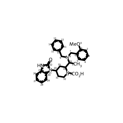 COc1ccccc1CN(Cc1ccccc1)C(C)C1CC(n2c(=O)[nH]c3ccccc32)CCN1C(=O)O